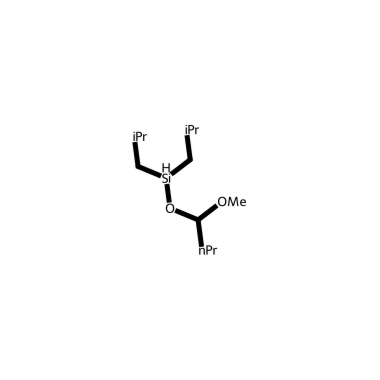 CCCC(OC)O[SiH](CC(C)C)CC(C)C